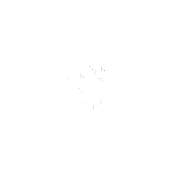 CCC(=O)/C(C#N)=N/O[P+](N1CCCC1)(N1CCCC1)N1CCCC1.F[P-](F)(F)(F)(F)F